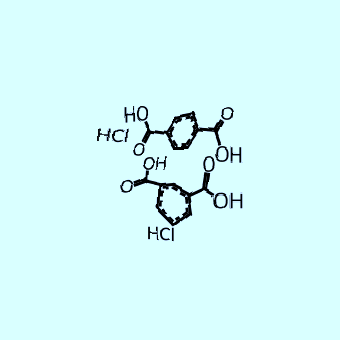 Cl.Cl.O=C(O)c1ccc(C(=O)O)cc1.O=C(O)c1cccc(C(=O)O)c1